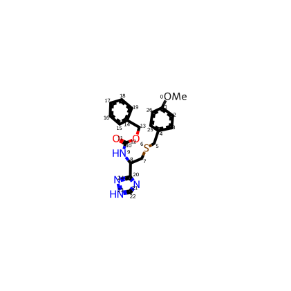 COc1ccc(CSCC(NC(=O)OCc2ccccc2)c2nc[nH]n2)cc1